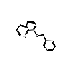 [c]1ccccc1CSc1cccc2cccnc12